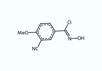 COc1ccc(C(Cl)=NO)cc1C#N